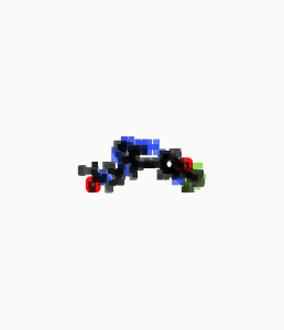 C=CC(=O)N1CC[C@H](n2cc(C#Cc3ccc4oc(C(F)(F)F)nc4c3)c3c(N)ncnc32)C1